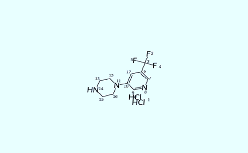 Cl.Cl.FC(F)(F)c1cncc(N2CCNCC2)c1